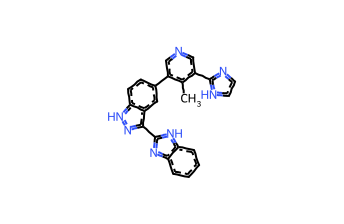 Cc1c(-c2ccc3[nH]nc(-c4nc5ccccc5[nH]4)c3c2)cncc1-c1ncc[nH]1